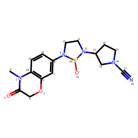 CN1C(=O)COc2cc(N3CCN(C4CCN(C#N)C4)[S+]3[O-])ccc21